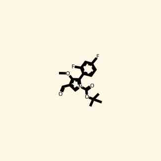 COc1c(C=O)cn(C(=O)OC(C)(C)C)c1-c1ccc(F)cc1F